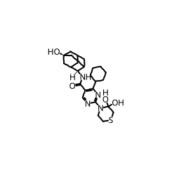 O=C(N[C@H]1C2CC3CC1C[C@@](O)(C3)C2)c1cnc(N2CCSCC2(O)O)nc1C1CCCCC1